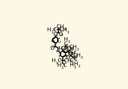 CCC(C)(C)c1cc(/C=C/C(=O)c2ccc(OC(=O)C(C)(C)C)cc2)c(OC(C)C)c(C(C)(C)CC)c1OC(=O)C(C)(C)C